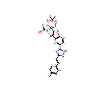 Cc1ccc(/C=C/c2nc(-c3ccc4oc(C5(NC(=O)O)COC(C)(C)OC5)cc4c3)no2)cc1